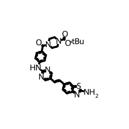 CC(C)(C)OC(=O)N1CCN(C(=O)c2ccc(Nc3ncc(/C=C/c4ccc5nc(N)sc5c4)cn3)cc2)CC1